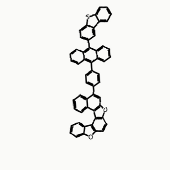 c1ccc2c(c1)oc1ccc3oc4cc(-c5ccc(-c6c7ccccc7c(-c7ccc8sc9ccccc9c8c7)c7ccccc67)cc5)c5ccccc5c4c3c12